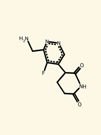 NCc1nncc(C2CCC(=O)NC2=O)c1F